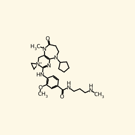 CNCCCNC(=O)c1ccc(NC2=NC3=C(C[N+]24CC4)N(C)C(=O)CCN3C2CCCC2)c(OC)c1